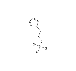 Cl[Si](Cl)(Cl)CCCC1C=CC=C1